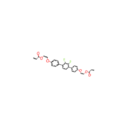 C=CC(=O)O/C=C\Oc1ccc(-c2ccc(-c3ccc(O/C=C\OC(=O)C=C)cc3)c(F)c2F)cc1